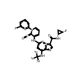 [2H]C([2H])([2H])Nc1cc(NC2=CC=CN(c3cccc(F)n3)C2=C=O)nn2c(C(=O)N[C@@H]3C[C@@H]3F)cnc12